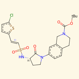 CC(C)(C)OC(=O)N1CCc2ccc(N3CC[C@H](NS(=O)(=O)/C=C/c4ccc(Cl)s4)C3=O)cc2C1